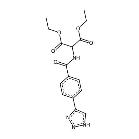 CCOC(=O)C(NC(=O)c1ccc(-c2c[nH]nn2)cc1)C(=O)OCC